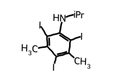 Cc1c(I)c(C)c(I)c(NC(C)C)c1I